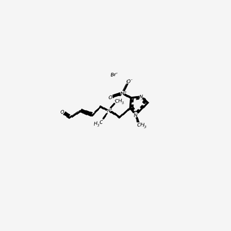 Cn1cnc([N+](=O)[O-])c1C[N+](C)(C)CC=CC=O.[Br-]